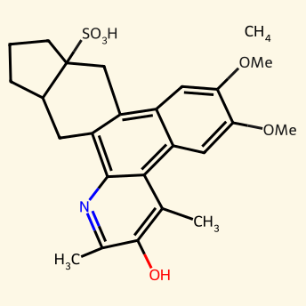 C.COc1cc2c3c(c4nc(C)c(O)c(C)c4c2cc1OC)CC1CCCC1(S(=O)(=O)O)C3